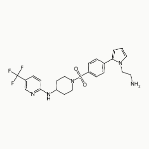 NCCn1cccc1-c1ccc(S(=O)(=O)N2CCC(Nc3ccc(C(F)(F)F)cn3)CC2)cc1